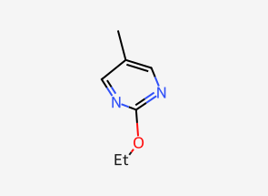 CCOc1ncc(C)cn1